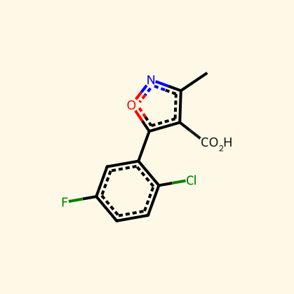 Cc1noc(-c2cc(F)ccc2Cl)c1C(=O)O